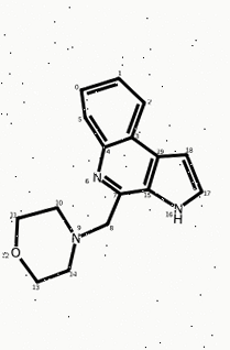 c1ccc2c(c1)nc(CN1CCOCC1)c1[nH]ccc12